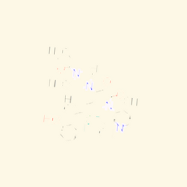 C=CC(=O)N1C[C@@H]2COC3=C(/C(=C/C(Cl)=C(\C)c4c(O)cccc4F)CN(c4c(C)ccnc4C(C)F)C3=O)N2C[C@H]1C